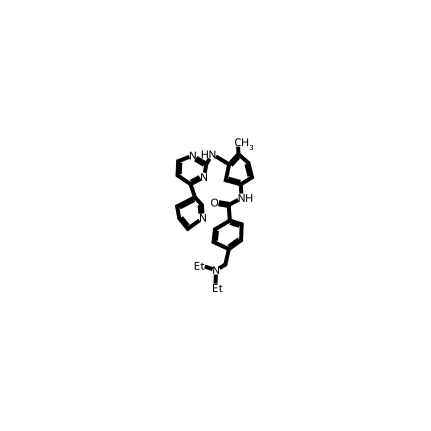 CCN(CC)Cc1ccc(C(=O)Nc2ccc(C)c(Nc3nccc(-c4cccnc4)n3)c2)cc1